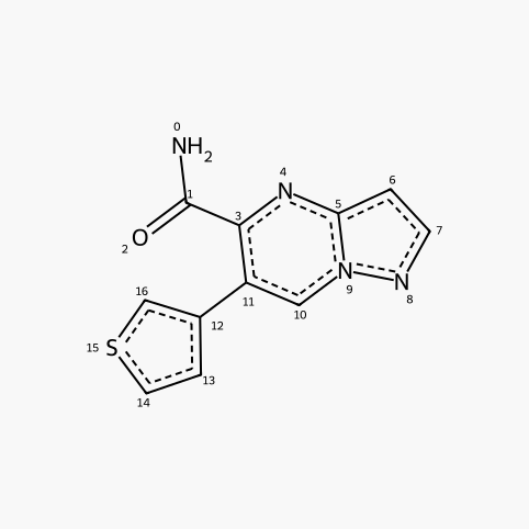 NC(=O)c1nc2ccnn2cc1-c1ccsc1